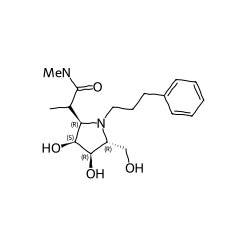 CNC(=O)C(C)[C@@H]1[C@H](O)[C@H](O)[C@@H](CO)N1CCCc1ccccc1